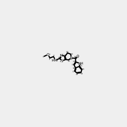 COCCNc1nc2c(s1)CN(C(=O)c1cc3ccccc3[nH]1)CC2